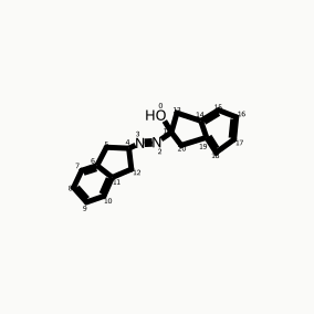 OC1(N=NC2Cc3ccccc3C2)Cc2ccccc2C1